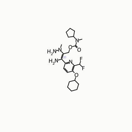 CN(N)/C(COC(=O)N(C)C1CCCC1)=C(\N)c1ccc(OC2CCCCC2)c(C(F)F)n1